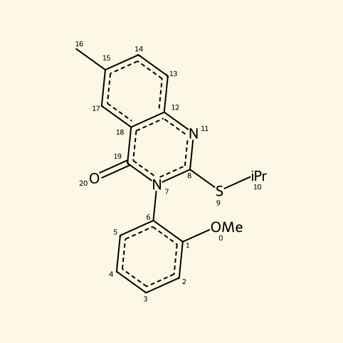 COc1ccccc1-n1c(SC(C)C)nc2ccc(C)cc2c1=O